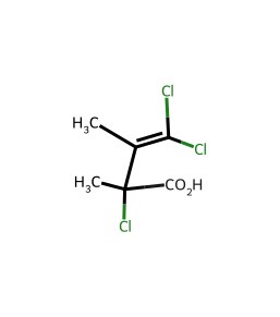 CC(=C(Cl)Cl)C(C)(Cl)C(=O)O